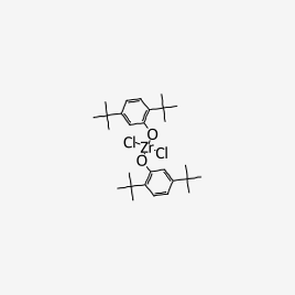 CC(C)(C)c1ccc(C(C)(C)C)c([O][Zr]([Cl])([Cl])[O]c2cc(C(C)(C)C)ccc2C(C)(C)C)c1